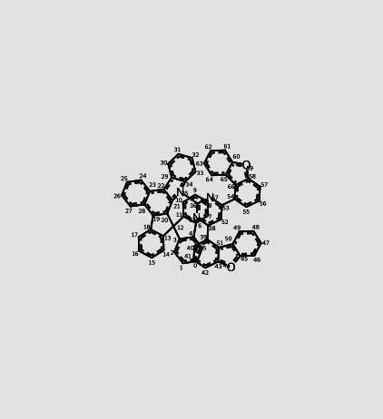 c1ccc2c(c1)-c1ccccc1C21c2ccccc2-c2c1c1c(c3ccccc23)c2ccccc2n1-c1nc(-c2cccc3oc4ccccc4c23)cc(-c2cccc3oc4ccccc4c23)n1